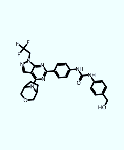 O=C(Nc1ccc(CO)cc1)Nc1ccc(-c2nc(N3C4CCC3COC4)c3cnn(CC(F)(F)F)c3n2)cc1